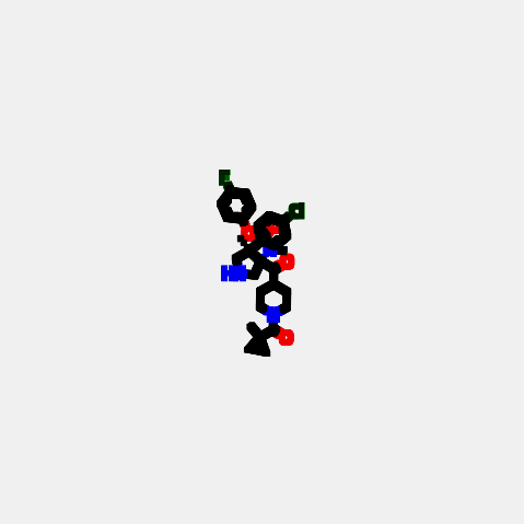 CN(C(=O)Oc1ccc(F)cc1)[C@]1(C(=O)C2CCN(C(=O)C3(C)CC3)CC2)CNC[C@@]1(C)c1ccc(Cl)cc1